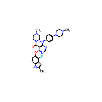 Cc1cc2c(F)c(Oc3ncnc(Nc4ccc(N5CCN(C)CC5)cc4)c3C(=O)N3CCN(C)CC3)ccc2[nH]1